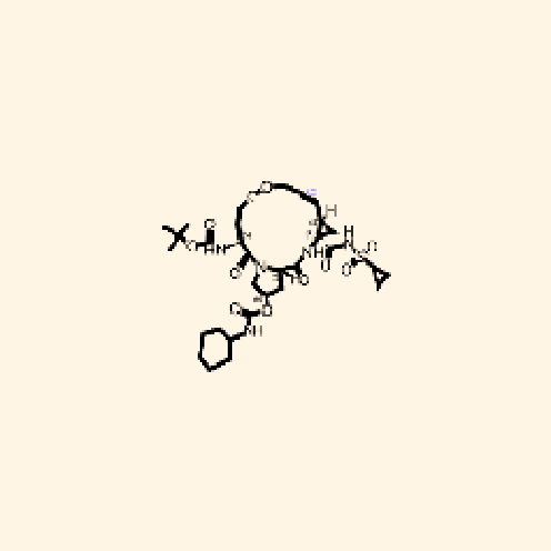 CC(C)(C)OC(=O)N[C@H]1CCCOC/C=C\[C@@H]2C[C@@]2(C(=O)NS(=O)(=O)C2CC2)NC(=O)[C@@H]2C[C@@H](OC(=O)NC3CCCCC3)CN2C1=O